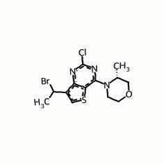 CC(Br)c1csc2c(N3CCOC[C@H]3C)nc(Cl)nc12